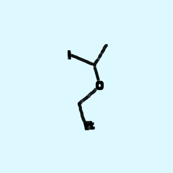 CCCOC(C)I